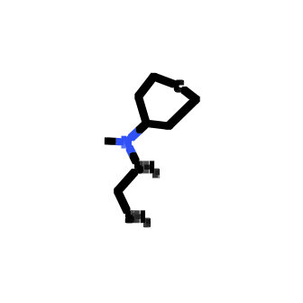 CN([SiH2]C[SiH3])C1CCCCC1